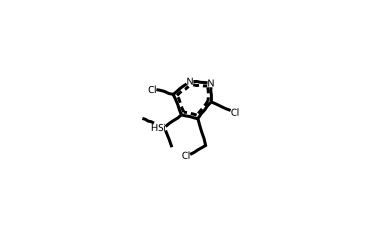 C[SiH](C)c1c(Cl)nnc(Cl)c1CCl